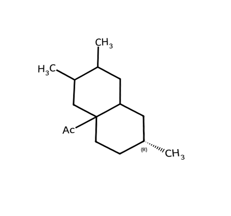 CC(=O)C12CC[C@@H](C)CC1CC(C)C(C)C2